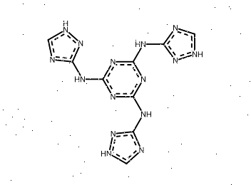 c1nc(Nc2nc(Nc3nc[nH]n3)nc(Nc3nc[nH]n3)n2)n[nH]1